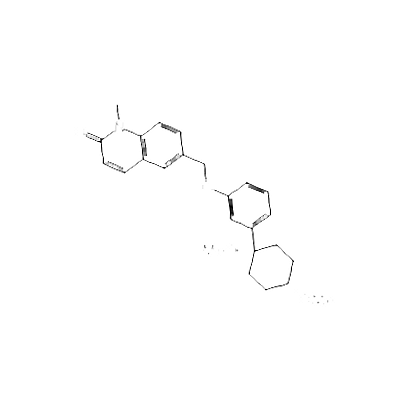 CO[C@H]1CC[C@](OC)(c2cccc(OCc3ccc4c(ccc(=O)n4C)c3)c2)CC1